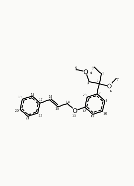 CCC(COC)(OC)c1cccc(OCC=Cc2ccccc2)c1